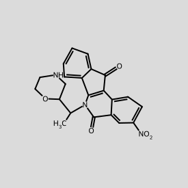 CC(C1CNCCO1)n1c2c(c3ccc([N+](=O)[O-])cc3c1=O)C(=O)c1ccccc1-2